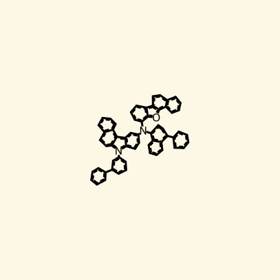 c1ccc(-c2cccc(-n3c4ccc(N(c5ccc(-c6ccccc6)c6ccccc56)c5cccc6c5oc5c7ccccc7ccc65)cc4c4c5ccccc5ccc43)c2)cc1